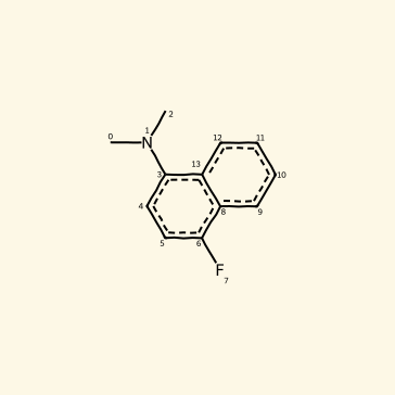 CN(C)c1ccc(F)c2ccccc12